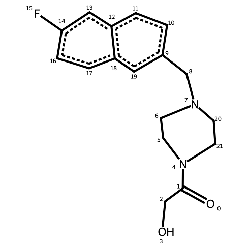 O=C(CO)N1CCN(Cc2ccc3cc(F)ccc3c2)CC1